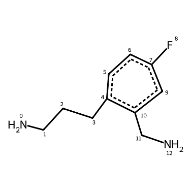 NCCCc1ccc(F)cc1CN